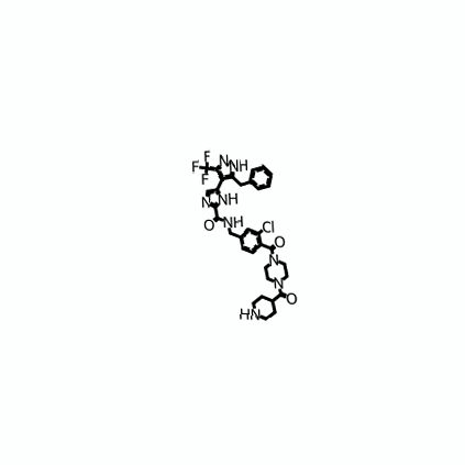 O=C(NCc1ccc(C(=O)N2CCN(C(=O)C3CCNCC3)CC2)c(Cl)c1)c1ncc(-c2c(C(F)(F)F)n[nH]c2Cc2ccccc2)[nH]1